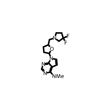 CNc1ncnc2c1ccn2C1CCC(CN2CCC(F)(F)C2)O1